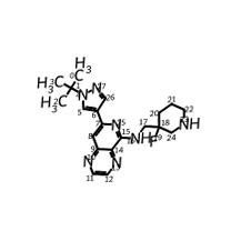 CC(C)(C)n1cc(-c2cc3nccnc3c(NCC3(F)CCCNC3)n2)cn1